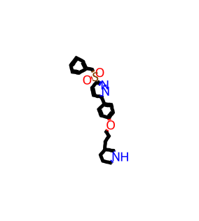 O=S(=O)(Cc1ccccc1)c1ccc(-c2ccc(OCCCC3CCCNC3)cc2)nn1